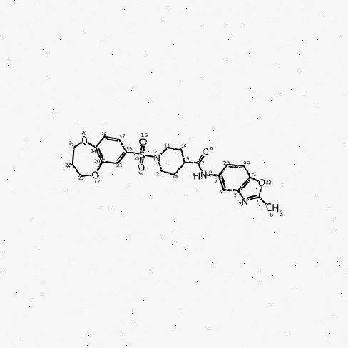 Cc1nc2cc(NC(=O)C3CCN(S(=O)(=O)c4ccc5c(c4)OCCCO5)CC3)ccc2o1